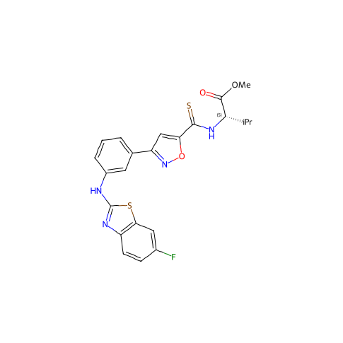 COC(=O)[C@@H](NC(=S)c1cc(-c2cccc(Nc3nc4ccc(F)cc4s3)c2)no1)C(C)C